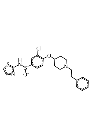 [O-][S+](Nc1nccs1)c1ccc(OC2CCN(CCc3ccccc3)CC2)c(Cl)c1